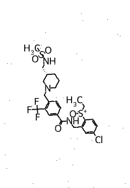 CC[S+]([O-])c1ccc(Cl)cc1CNC(=O)c1ccc(CN2CCC[C@@H](CNS(C)(=O)=O)C2)c(C(F)(F)F)c1